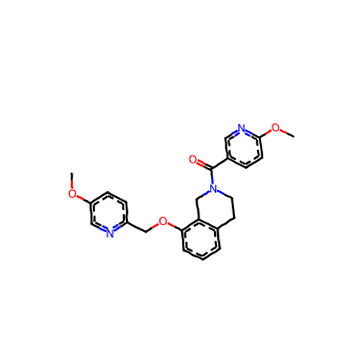 COc1ccc(COc2cccc3c2CN(C(=O)c2ccc(OC)nc2)CC3)nc1